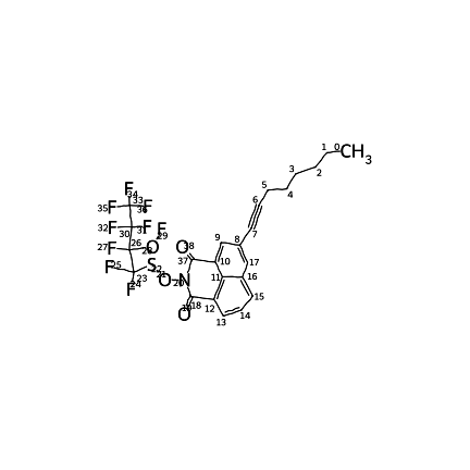 CCCCCCC#Cc1cc2c3c(cccc3c1)C(=O)N(OSC(F)(F)C(F)(OF)C(F)(F)C(F)(F)F)C2=O